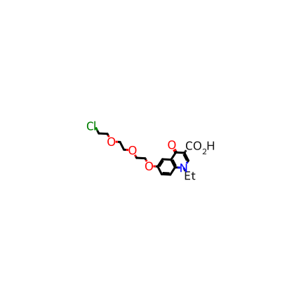 CCn1cc(C(=O)O)c(=O)c2cc(OCCOCCOCCCl)ccc21